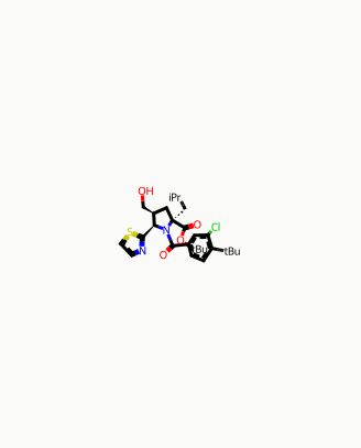 CC(C)C[C@@]1(C(=O)OC(C)(C)C)C[C@H](CO)[C@H](c2nccs2)N1C(=O)c1ccc(C(C)(C)C)c(Cl)c1